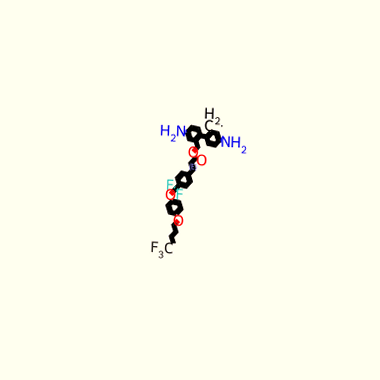 [CH2]c1cc(N)ccc1-c1ccc(N)cc1COC(=O)/C=C/c1ccc(C(F)(F)Oc2ccc(OCCCCC(F)(F)F)cc2)cc1